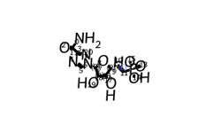 NC(=O)c1ncn([C@@H]2O[C@H](/C=C/P(=O)(O)O)[C@@H](O)[C@H]2O)n1